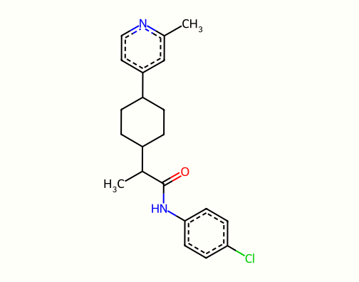 Cc1cc(C2CCC(C(C)C(=O)Nc3ccc(Cl)cc3)CC2)ccn1